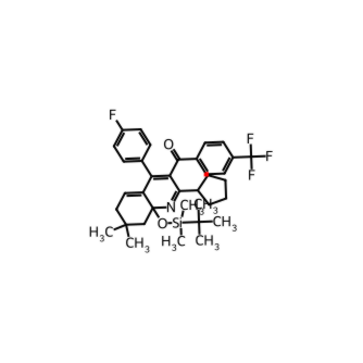 CC1(C)CC=C2C(c3ccc(F)cc3)=C(C(=O)c3ccc(C(F)(F)F)cc3)C(C3CCCC3)=NC2(O[Si](C)(C)C(C)(C)C)C1